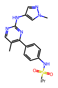 Cc1cnc(Nc2cnn(C)c2)nc1-c1ccc(NS(=O)(=O)C(C)C)cc1